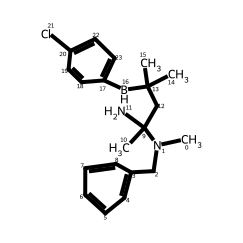 CN(Cc1ccccc1)C(C)(N)CC(C)(C)Bc1ccc(Cl)cc1